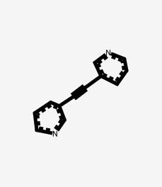 C(#Cc1cccnc1)c1cccnc1